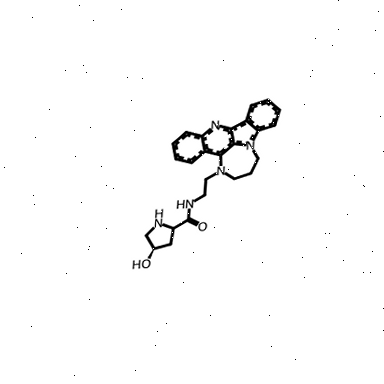 O=C(NCCN1CCCn2c3ccccc3c3nc4ccccc4c1c32)C1C[C@@H](O)CN1